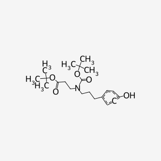 CC(C)(C)OC(=O)CCN(CCCc1ccc(O)cc1)C(=O)OC(C)(C)C